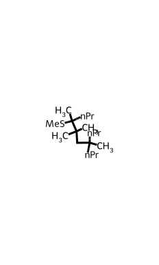 CCCC(C)(CCC)CC(C)(C)C(C)(CCC)SC